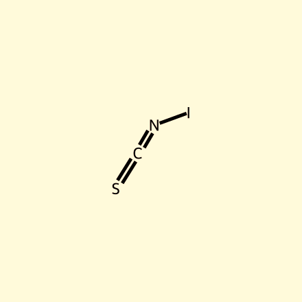 S=C=NI